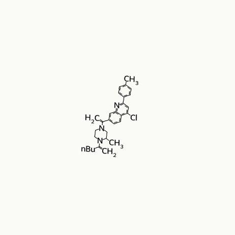 C=C(c1ccc2c(Cl)cc(-c3ccc(C)cc3)nc2c1)N1CCN(C(=C)CCCC)C(C)C1